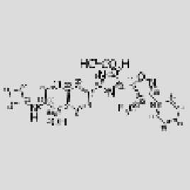 O=C(O)O.O[C@@H]1c2ccc(-c3noc(-c4onc(-c5ccccc5)c4C(F)(F)F)n3)cc2OC[C@@H]1NC1CCC1